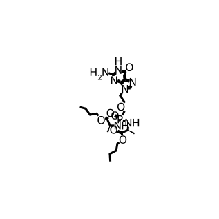 CCCCOC(=O)[C@H](C)NP(=O)(COCCn1cnc2c(=O)[nH]c(N)nc21)N[C@@H](C)C(=O)OCCCC